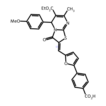 CCOC(=O)C1=C(C)N=c2s/c(=C\c3ccc(-c4ccc(C(=O)O)cc4)o3)c(=O)n2C1c1ccc(OC)cc1